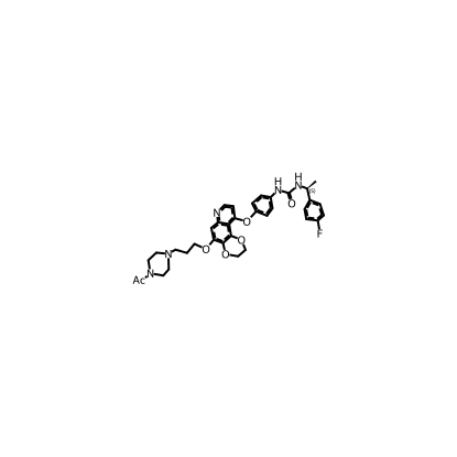 CC(=O)N1CCN(CCCOc2cc3nccc(Oc4ccc(NC(=O)N[C@@H](C)c5ccc(F)cc5)cc4)c3c3c2OCCO3)CC1